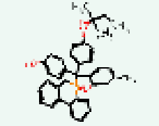 CCC(C)(C)Oc1ccc(C(c2ccc(C)cc2)(c2ccc(O)cc2)P2(=O)Cc3ccccc3-c3ccccc32)cc1